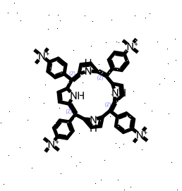 C[N+](C)(C)c1ccc(/C2=C3\C=CC(N3)/C(c3ccc([N+](C)(C)C)cc3)=c3/cc/c([nH]3)=C(\c3ccc([N+](C)(C)C)cc3)C3C=C/C(=C(\c4ccc([N+](C)(C)C)cc4)c4ccc2[nH]4)N3)cc1